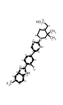 CC1(C)CN(c2ncc(-c3ccc(-c4nc5cc(C(F)(F)F)ccc5[nH]4)c(F)c3)cn2)CCC1CC(=O)O